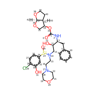 O=C(N[C@@H](Cc1ccccc1)[C@H](O)CN(CCN1CCOCC1)[S+]([O-])c1ccc(Cl)c(O)c1)O[C@H]1CO[C@H]2OCC[C@H]21